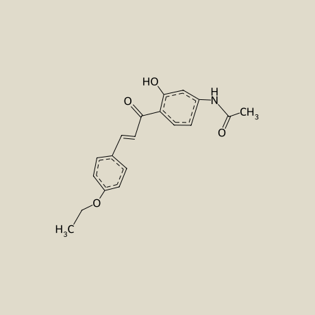 CCOc1ccc(/C=C/C(=O)c2ccc(NC(C)=O)cc2O)cc1